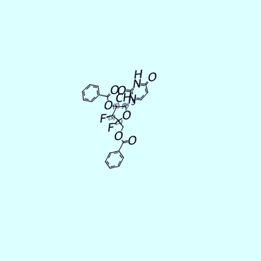 C[C@]1(OC(=O)c2ccccc2)[C@H](n2ccc(=O)[nH]c2=O)O[C@](F)(COC(=O)c2ccccc2)[C@H]1F